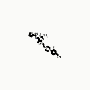 N#CCc1ccc(N2CCN(CCn3ncc4/c(=N/C(=N)c5ccco5)[nH]c(N)nc43)CC2)c(F)c1